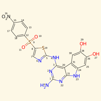 Nc1nc(Nc2ncc(S(=O)(=O)c3ccc([N+](=O)[O-])cc3)s2)c2c(n1)[nH]c1cc(O)c(O)cc12